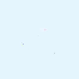 COc1ccc(CN(Cc2c(F)ccnc2Cl)CC2(O)CC2)cc1